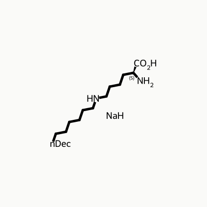 CCCCCCCCCCCCCCCCNCCCC[C@H](N)C(=O)O.[NaH]